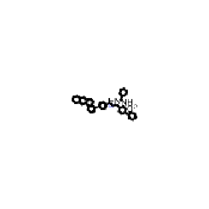 NC(NC(/C=C/c1ccc(-c2cccc3c2ccc2cc4ccccc4cc23)cc1)c1ccc2c(c1)oc1ccccc12)c1ccccc1